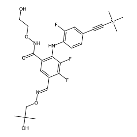 CC(C)(O)CON=Cc1cc(C(=O)NOCCO)c(Nc2ccc(C#C[Si](C)(C)C)cc2F)c(F)c1F